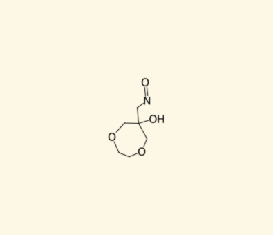 O=NCC1(O)COCCOC1